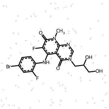 Cn1c(=O)c(F)c(Nc2ccc(Br)cc2F)c2c(=O)n(CC(O)CO)cnc21